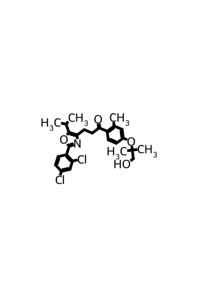 Cc1cc(OC(C)(C)CO)ccc1C(=O)CCc1nc(-c2ccc(Cl)cc2Cl)oc1C(C)C